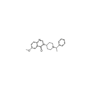 COc1ccc2ncn(C3CCN(C(C)c4ccccc4)CC3)c(=O)c2c1